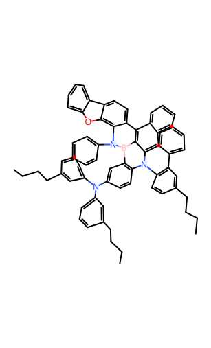 CCCCc1cccc(N(c2cccc(CCCC)c2)c2ccc3c(c2)B2c4c(cc5ccccc5c4-c4ccc5c(oc6ccccc65)c4N2c2ccccc2)N3c2ccc(CCCC)cc2-c2ccccc2)c1